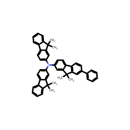 CC1(C)c2ccccc2-c2ccc(N(c3ccc4c(c3)C(C)(C)c3ccccc3-4)c3ccc4c(c3)C(C)(C)c3cc(-c5ccccc5)ccc3-4)cc21